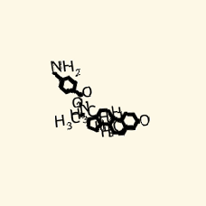 CC(=NOC(=O)c1ccc(CN)cc1)[C@H]1CC[C@H]2[C@@H]3CCC4=CC(=O)CC[C@]4(C)[C@H]3CC[C@]12C